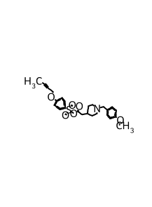 CC#CCOc1ccc(S(=O)(=O)OC(=O)CC2CCN(Cc3ccc(OC)cc3)CC2)cc1